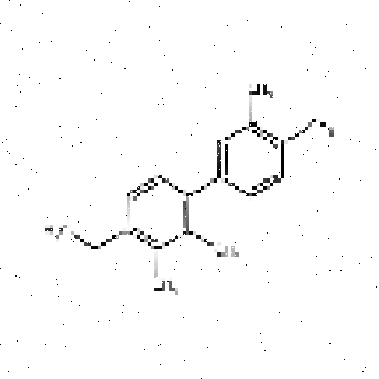 CCc1ccc(-c2ccc(C)c(C)c2)c(C)c1C